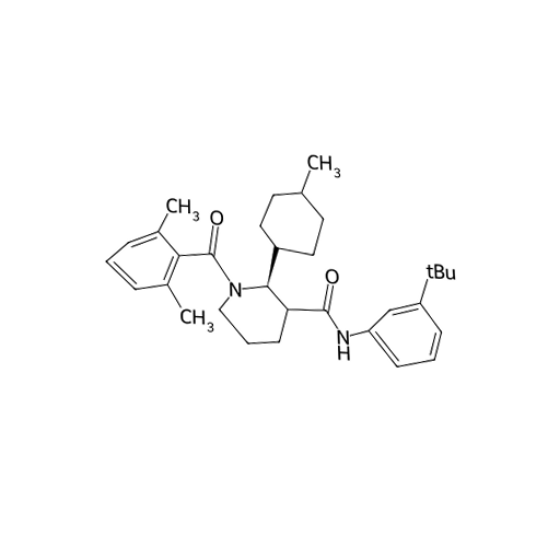 Cc1cccc(C)c1C(=O)N1CCCC(C(=O)Nc2cccc(C(C)(C)C)c2)[C@@H]1C1CCC(C)CC1